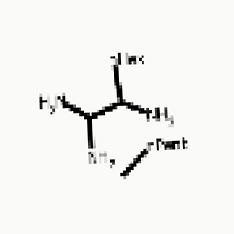 CCCCCC.CCCCCCC(N)C(N)N